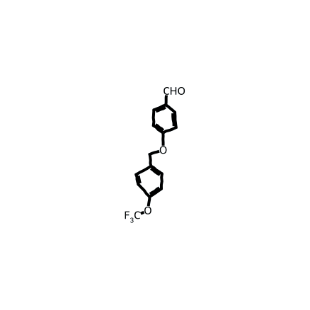 O=Cc1ccc(OCc2ccc(OC(F)(F)F)cc2)cc1